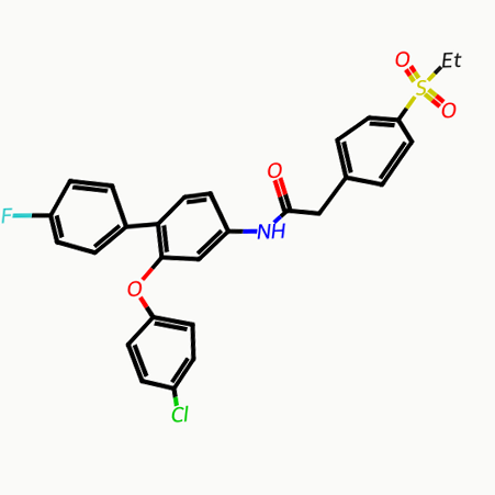 CCS(=O)(=O)c1ccc(CC(=O)Nc2ccc(-c3ccc(F)cc3)c(Oc3ccc(Cl)cc3)c2)cc1